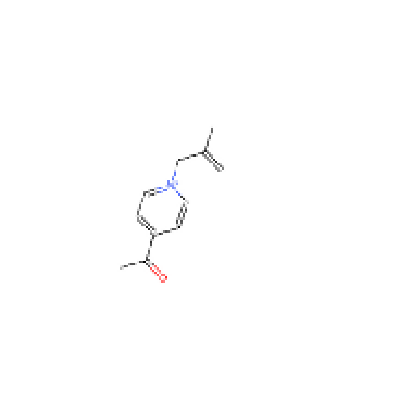 C=C(C)C[n+]1ccc(C(C)=O)cc1